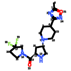 Cc1nc(C2CCN([C@@H]3CN[C@H](C(=O)N4CCC(F)(F)C4)C3)CC2)no1